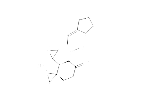 CO[C@@H]1C(=O)CC[C@]2(CO2)[C@H]1[C@@]1(C)O[C@@H]1CC=C1CCCC1